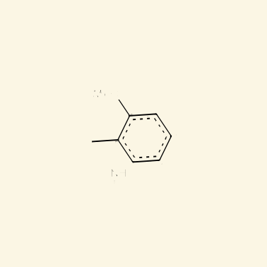 COc1ccccc1C.N